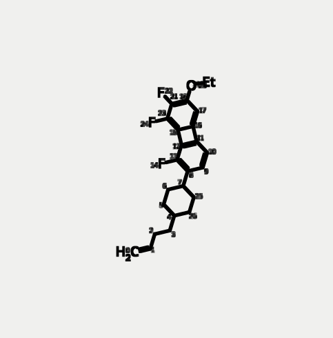 C=CCCC1CCC(c2ccc3c(c2F)-c2c-3cc(OCC)c(F)c2F)CC1